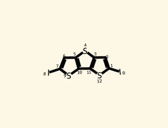 Ic1cc2sc3cc(I)sc3c2s1